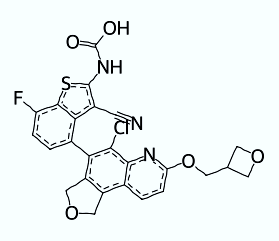 N#Cc1c(NC(=O)O)sc2c(F)ccc(-c3c4c(c5ccc(OCC6COC6)nc5c3Cl)COC4)c12